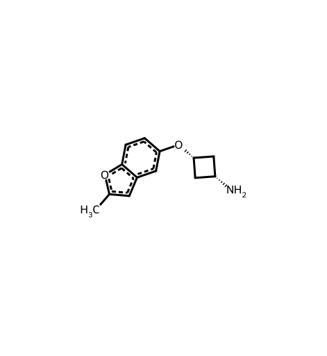 Cc1cc2cc(O[C@H]3C[C@@H](N)C3)ccc2o1